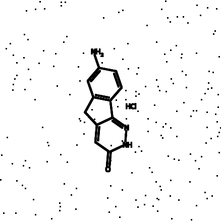 Cl.Nc1ccc2c(c1)Cc1cc(=O)[nH]nc1-2